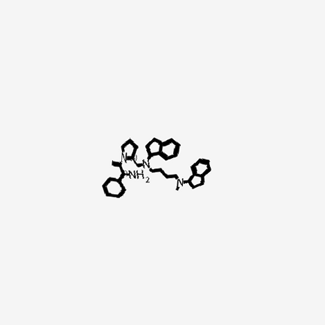 C=C([C@@H](N)C1CCCCC1)N1CCC[C@H]1CN(CCCCN(C)C1CCc2ccccc21)C1CCc2ccccc21